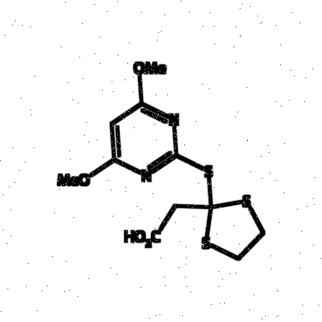 COc1cc(OC)nc(SC2(CC(=O)O)SCCS2)n1